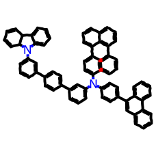 C1=CC2c3ccccc3N(c3cccc(-c4ccc(-c5cccc(N(c6ccc(-c7cc8ccccc8c8ccccc78)cc6)c6ccc(-c7cccc8cccc(-c9ccccc9)c78)cc6)c5)cc4)c3)C2C=C1